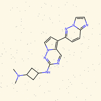 CN(C)C1CC(Nc2ncc3c(-c4ccc5nccn5n4)ccn3n2)C1